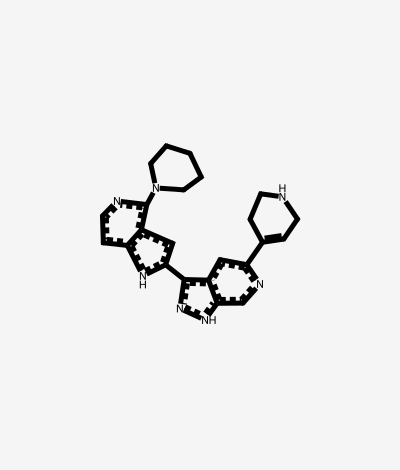 C1=C(c2cc3c(-c4cc5c(N6CCCCC6)nccc5[nH]4)n[nH]c3cn2)CCNC1